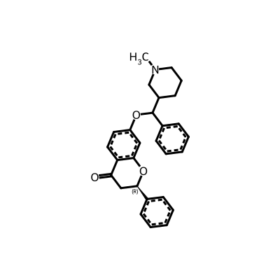 CN1CCCC(C(Oc2ccc3c(c2)O[C@@H](c2ccccc2)CC3=O)c2ccccc2)C1